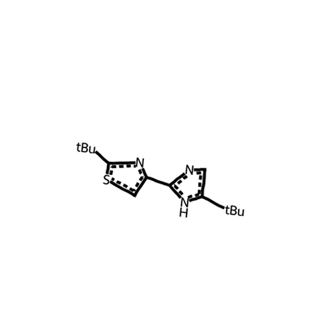 CC(C)(C)c1cnc(-c2csc(C(C)(C)C)n2)[nH]1